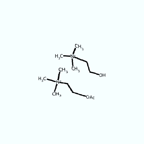 CC(=O)OCC[N+](C)(C)C.C[N+](C)(C)CCO